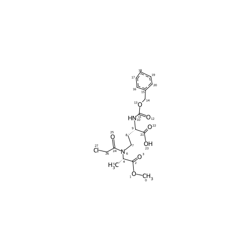 COC(=O)[C@H](C)N(CC[C@H](NC(=O)OCc1ccccc1)C(=O)O)C(=O)CCl